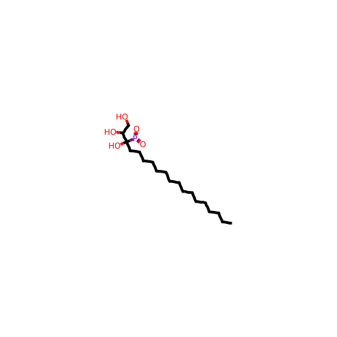 CCCCCCCCCCCCCCCCC(O)(C(O)CO)P(=O)=O